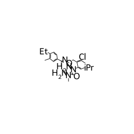 CCc1ccc(C(C)=NOCC(=C(/C)Cl)/C(=C\C(C)C)N(N)C(=O)N(C)N)cc1C